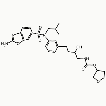 CC(C)CN(c1cccc(CCC(O)CNC(=O)OC2CCOC2)c1)S(=O)(=O)c1ccc2nc(N)oc2c1